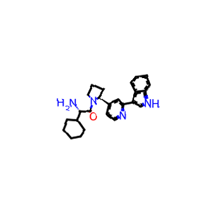 N[C@H](C(=O)N1CCC[C@H]1c1ccnc(-c2c[nH]c3ccccc23)c1)C1CCCCC1